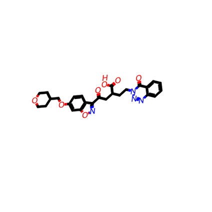 O=C(CC(CCn1nnc2ccccc2c1=O)C(=O)O)c1noc2cc(OCC3CCOCC3)ccc12